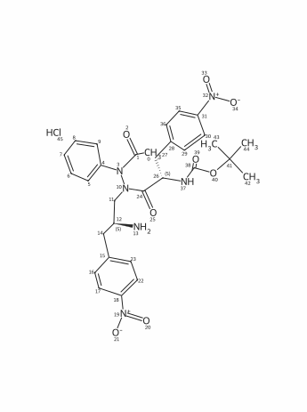 CC(=O)N(c1ccccc1)N(C[C@@H](N)Cc1ccc([N+](=O)[O-])cc1)C(=O)[C@H](Cc1ccc([N+](=O)[O-])cc1)NC(=O)OC(C)(C)C.Cl